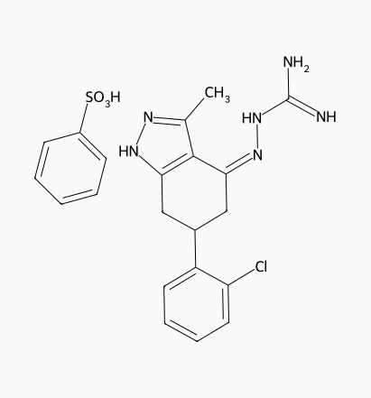 Cc1n[nH]c2c1/C(=N\NC(=N)N)CC(c1ccccc1Cl)C2.O=S(=O)(O)c1ccccc1